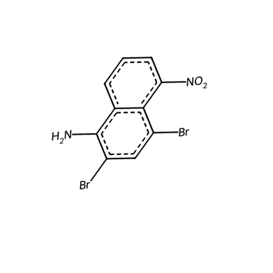 Nc1c(Br)cc(Br)c2c([N+](=O)[O-])cccc12